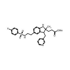 COC(=O)CCC1(C)Nc2ccc(CCNS(=O)(=O)c3ccc(F)cc3)cc2C1Cc1cccnc1